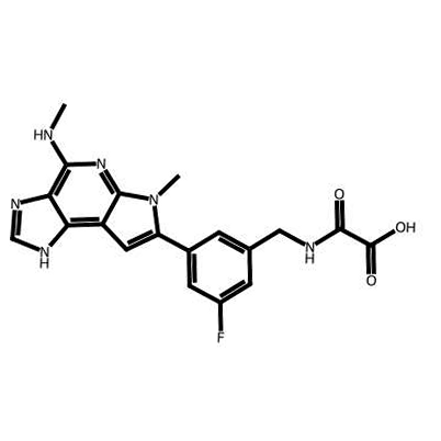 CNc1nc2c(cc(-c3cc(F)cc(CNC(=O)C(=O)O)c3)n2C)c2[nH]cnc12